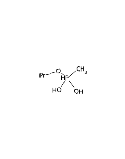 CC(C)O[PH](C)(O)O